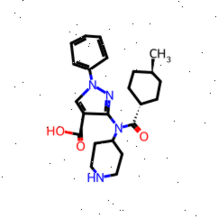 C[C@H]1CC[C@H](C(=O)N(c2nn(-c3ccccc3)cc2C(=O)O)C2CCNCC2)CC1